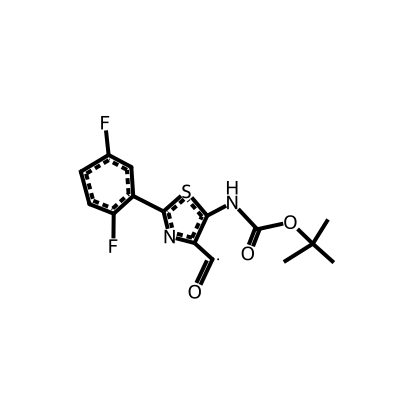 CC(C)(C)OC(=O)Nc1sc(-c2cc(F)ccc2F)nc1[C]=O